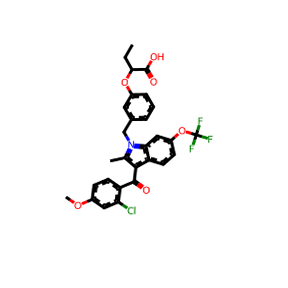 CCC(Oc1cccc(Cn2c(C)c(C(=O)c3ccc(OC)cc3Cl)c3ccc(OC(F)(F)F)cc32)c1)C(=O)O